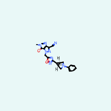 Cn1cnc2c(C#N)nn(Cc3nc(C4[C@H]5CN(c6ccccc6)C[C@@H]45)no3)c2c1=O